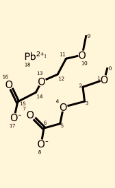 COCCOCC(=O)[O-].COCCOCC(=O)[O-].[Pb+2]